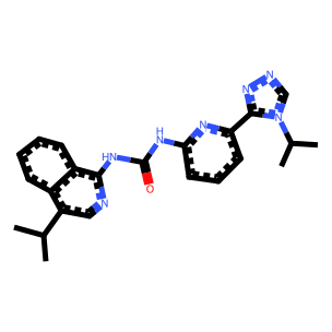 CC(C)c1cnc(NC(=O)Nc2cccc(-c3nncn3C(C)C)n2)c2ccccc12